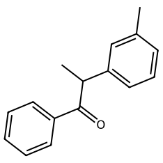 Cc1cccc(C(C)C(=O)c2ccccc2)c1